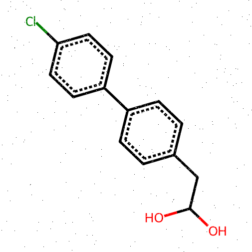 OC(O)Cc1ccc(-c2ccc(Cl)cc2)cc1